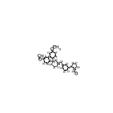 COc1ccc(C2(c3ccc(OC)cc3)CCCN(Cc3cccc(C4CCCN4C=O)c3)C2)cc1